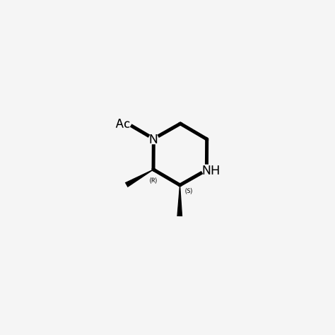 CC(=O)N1CCN[C@@H](C)[C@H]1C